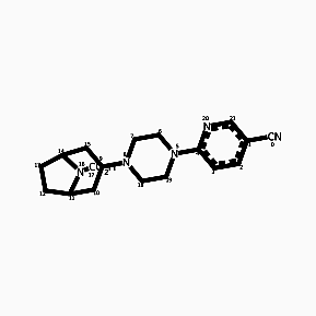 N#Cc1ccc(N2CCN(C3CC4CCC(C3)N4C(=O)O)CC2)nc1